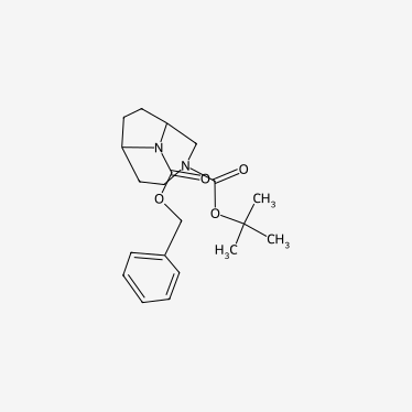 CC(C)(C)OC(=O)N1CCC2CCC(C1)N2C(=O)OCc1ccccc1